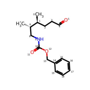 C[C@@H](CCC=O)[C@@H](C)CNC(=O)OCc1ccccc1